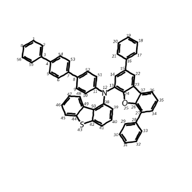 c1ccc(-c2ccc(-c3ccc(N(c4cc(-c5ccccc5)cc5c4oc4c(-c6ccccc6)cccc45)c4cccc5sc6ccccc6c45)cc3)cc2)cc1